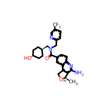 C[C@H]1OCc2c1c(N)nc1ccc(C(=O)N(Cc3ccc(C(F)(F)F)cn3)C[C@H]3CC[C@H](O)CC3)cc21